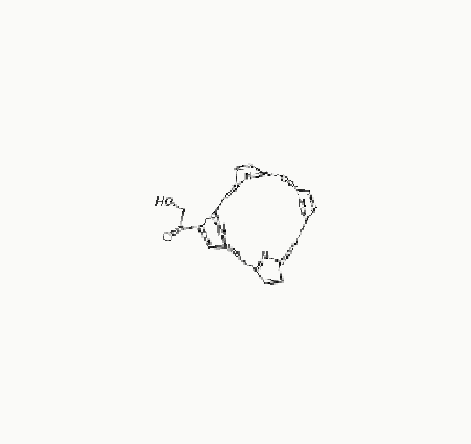 O=C(CO)C1=CC2=CC3=NC(=CC4=NC(=CC5=NC(=CC1=N2)C=C5)C=C4)C=C3